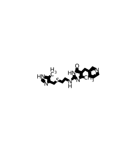 Cc1nc(NCCSCc2nc[nH]c2C)[nH]c(=O)c1Cc1cccnc1